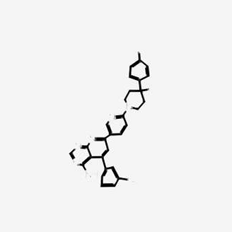 Nc1ncnc2nc(-c3ccc(N4CCC(O)(c5ccc(Br)cc5)CC4)nc3)cc(-c3cccc(Br)c3)c12